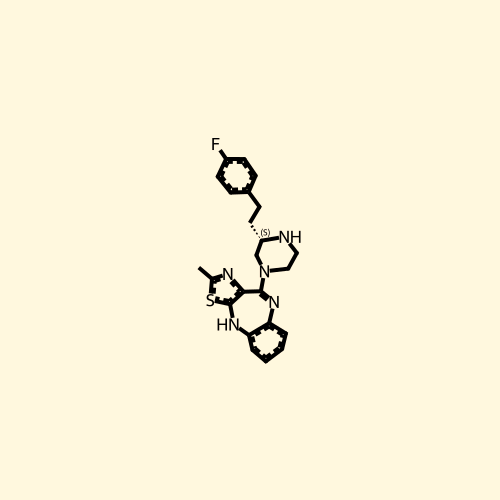 Cc1nc2c(s1)Nc1ccccc1N=C2N1CCN[C@@H](CCc2ccc(F)cc2)C1